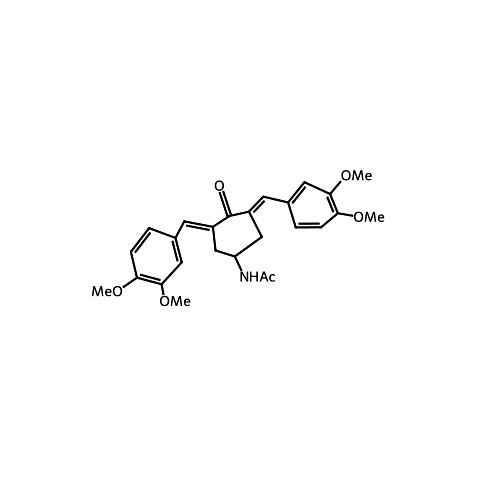 COc1ccc(C=C2CC(NC(C)=O)CC(=Cc3ccc(OC)c(OC)c3)C2=O)cc1OC